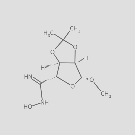 CO[C@@H]1O[C@H](C(=N)NO)[C@H]2OC(C)(C)O[C@@H]12